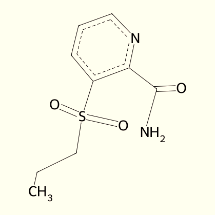 CCCS(=O)(=O)c1cccnc1C(N)=O